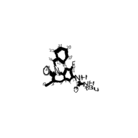 CC1Cc2cc(NC(=O)NC(C)(C)C)c(F)cc2N(Cc2ccccc2)C1=O